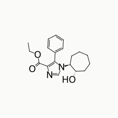 CCOC(=O)c1ncn([C@H]2CCCCC[C@@H]2O)c1-c1ccccc1